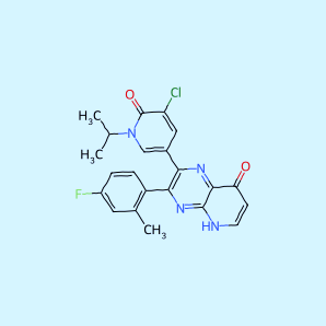 Cc1cc(F)ccc1-c1nc2[nH]ccc(=O)c2nc1-c1cc(Cl)c(=O)n(C(C)C)c1